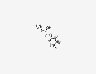 Cc1ccc(OC[C@H](O)CN)c(C)c1F